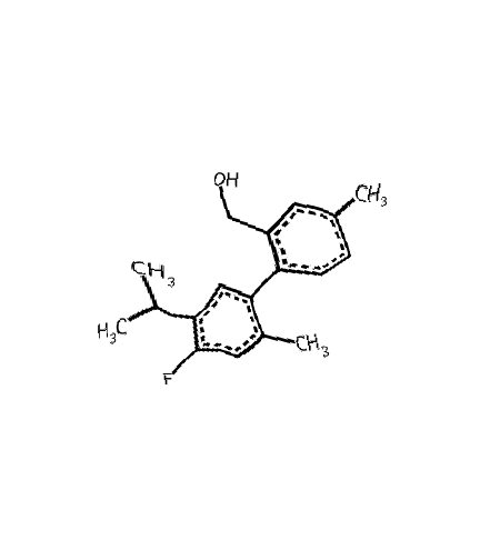 Cc1ccc(-c2cc(C(C)C)c(F)cc2C)c(CO)c1